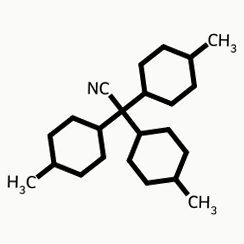 CC1CCC(C(C#N)(C2CCC(C)CC2)C2CCC(C)CC2)CC1